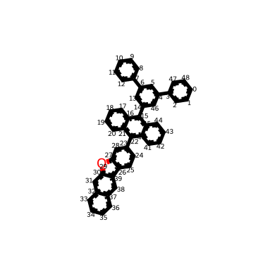 c1ccc(-c2cc(-c3ccccc3)cc(-c3c4ccccc4c(-c4ccc5c(c4)oc4cc6ccccc6cc45)c4ccccc34)c2)cc1